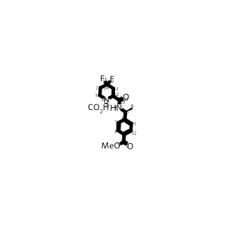 COC(=O)c1ccc([C@H](C)NC(=O)C2CC(F)(F)CCN2C(=O)O)cc1